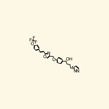 OC(CCCn1ccnn1)c1ccc(OCc2coc(/C=C/c3ccc(OC(F)(F)F)cc3)n2)cc1